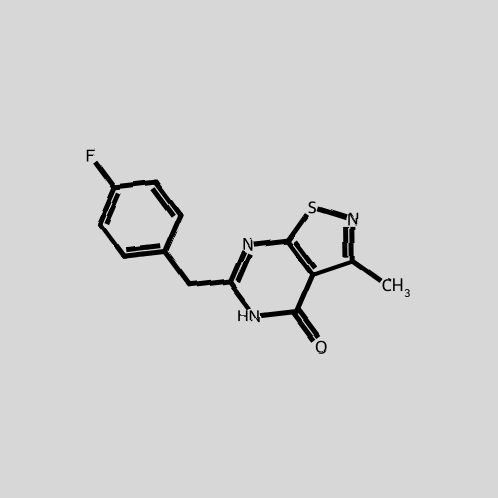 Cc1nsc2nc(Cc3ccc(F)cc3)[nH]c(=O)c12